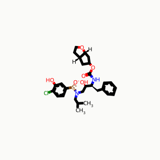 CC(C)CN(C[C@@H](O)[C@H](Cc1ccccc1)NC(=O)OC1C[C@@H]2CCO[C@@H]2C1)[S+]([O-])c1ccc(Cl)c(O)c1